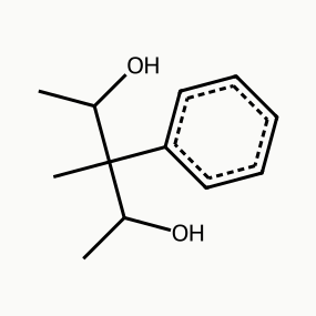 CC(O)C(C)(c1ccccc1)C(C)O